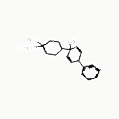 CCCCCCCC1(C#N)CCC(C2(CCC)C=CC(c3ccccc3)C=C2)CC1